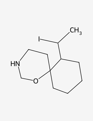 CC(I)C1CCCCC12CCNCO2